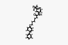 O=C(CCCCCOc1ccc(-c2ccccc2)cc1)Nc1ccnc(C(F)(F)F)c1